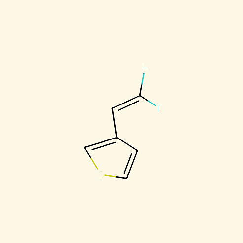 FC(F)=Cc1[c]scc1